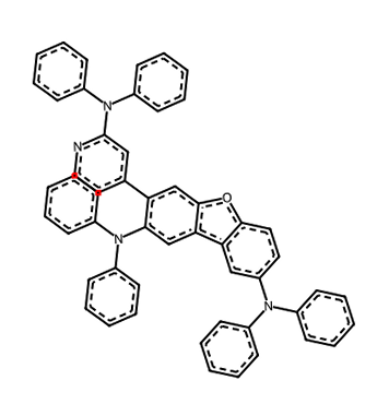 c1ccc(N(c2ccccc2)c2ccc3oc4cc(-c5ccnc(N(c6ccccc6)c6ccccc6)c5)c(N(c5ccccc5)c5ccccc5)cc4c3c2)cc1